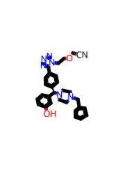 N#CCOCCn1nnnc1-c1ccc([C@H](c2cccc(O)c2)N2CCN(Cc3ccccc3)CC2)cc1